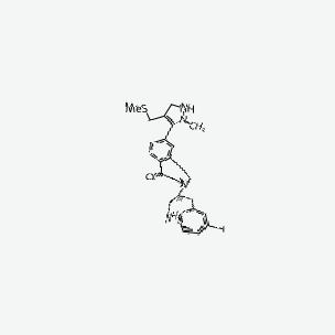 CSCC1=C(c2ccc3c(c2)CN([C@H](CN)Cc2cccc(I)c2)C3=O)N(C)NC1